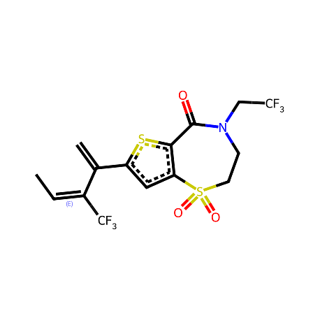 C=C(/C(=C\C)C(F)(F)F)c1cc2c(s1)C(=O)N(CC(F)(F)F)CCS2(=O)=O